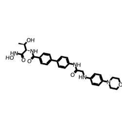 C[C@@H](O)[C@H](NC(=O)c1ccc(-c2ccc(NC(=O)CNc3ccc(N4CCOCC4)cc3)cc2)cc1)C(=O)NO